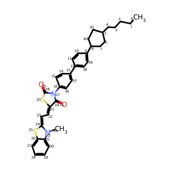 CCCCCC1CCC(c2ccc(-c3ccc(N4C(=O)S/C(=C\C=C5\Sc6ccccc6N5C)C4=O)cc3)cc2)CC1